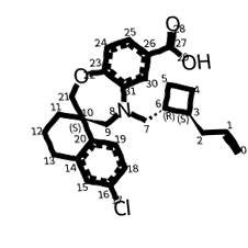 C=CC[C@@H]1CC[C@H]1CN1C[C@@]2(CCCc3cc(Cl)ccc32)COc2ccc(C(=O)O)cc21